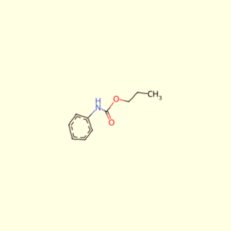 CCCOC(=O)Nc1ccccc1